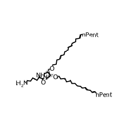 CCCCCC=CCC=CCCCCCCCCCCOC[C@@H]1CN(C(=O)[C@@H](N)CCCCN)C[C@H]1COCCCCCCCCCCC=CCC=CCCCCC